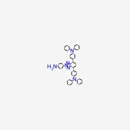 Nc1ccc(-n2nc3c(-c4ccc(N(c5ccccc5)c5ccccc5)cc4)ccc(-c4ccc(N(c5ccccc5)c5ccccc5)cc4)c3n2)cc1